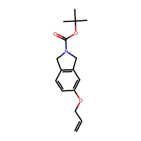 C=CCOc1ccc2c(c1)CN(C(=O)OC(C)(C)C)C2